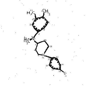 Cc1ccc(N(C)C2CCN(c3ccc([O])cc3)CC2)cc1C